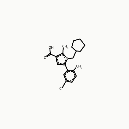 Cc1ccc(Cl)cc1-c1cc(C(=O)O)c(C)n1CC1CCCCC1